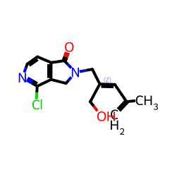 C=C(C)/C=C(\CO)CN1Cc2c(ccnc2Cl)C1=O